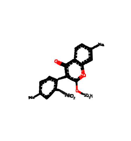 O=c1c(-c2cc[c]([Na])cc2[N+](=O)[O-])c(OS(=O)(=O)O)oc2c[c]([Na])ccc12